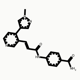 Cn1cc(-c2ccncc2C=CC(=O)Nc2ccc(C(N)=O)cc2)cn1